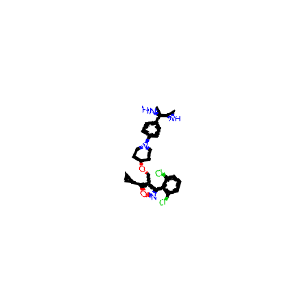 Clc1cccc(Cl)c1-c1noc(C2CC2)c1COC1CCN(c2ccc(C3(C4CN4)CN3)cc2)CC1